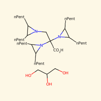 CCCCCC1C(CCCCC)N1CC(C(=O)O)(N1C(CCCCC)C1CCCCC)N1C(CCCCC)C1CCCCC.OCC(O)CO